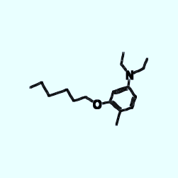 CCCCCCOc1cc(N(CC)CC)ccc1C